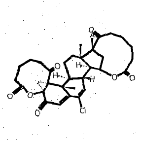 CC(=O)[C@]12CC(OC(=O)CCCCC1=O)[C@H]1[C@@H]3C=C(Cl)C4=CC(=O)[C@]56C[C@]5(C(=O)CCCCC(=O)O6)[C@]4(C)[C@H]3CC[C@@]12C